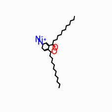 CCCCCCCCCCCC(=O)C1=CCC(=[N+]=[N-])C=C1C(=O)CCCCCCCCCCC